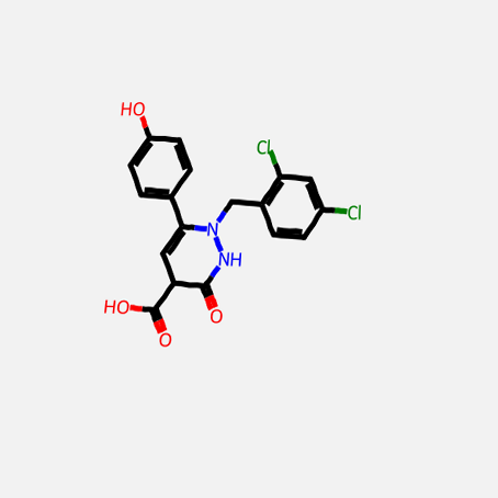 O=C(O)C1C=C(c2ccc(O)cc2)N(Cc2ccc(Cl)cc2Cl)NC1=O